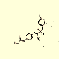 CC(=O)Oc1ccc(/C=C(\C#N)S(=O)(=O)Cc2ccc(F)cc2)cc1